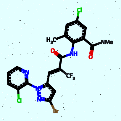 CNC(=O)c1cc(Cl)cc(C)c1NC(=O)/C(=C/c1cc(Br)nn1-c1ncccc1Cl)C(F)(F)F